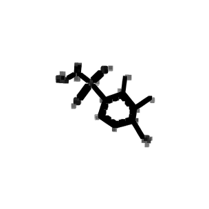 Cc1c(C(C)C)ccc(S(=O)(=O)NC(C)(C)C)c1C